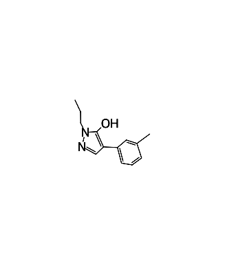 CCCn1ncc(-c2cccc(C)c2)c1O